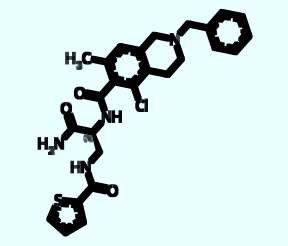 Cc1cc2c(c(Cl)c1C(=O)N[C@@H](CNC(=O)c1cccs1)C(N)=O)CCN(Cc1ccccc1)C2